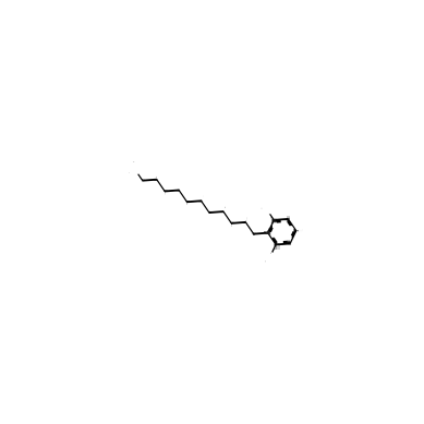 CCCCCCCCCCCCc1c(O)cccc1F